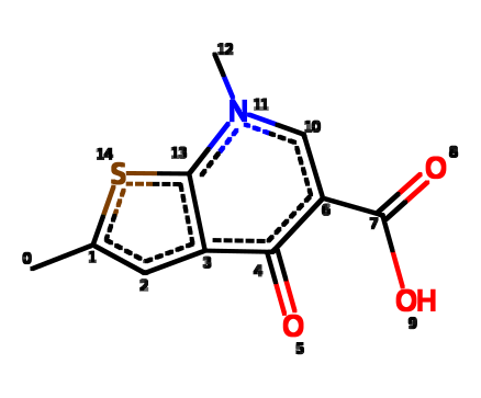 Cc1cc2c(=O)c(C(=O)O)cn(C)c2s1